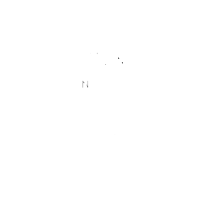 CCNC(=O)c1cc(Cc2ccc(C)cc2)ccn1